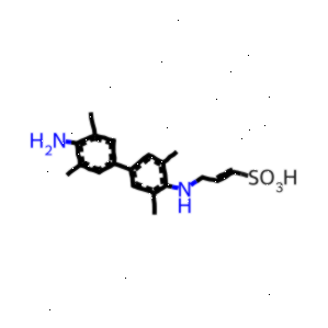 Cc1cc(-c2cc(C)c(NCC=CS(=O)(=O)O)c(C)c2)cc(C)c1N